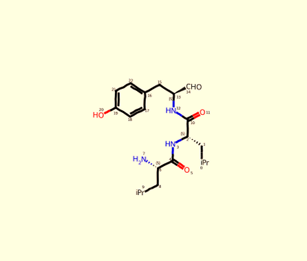 CC(C)C[C@H](NC(=O)[C@@H](N)CC(C)C)C(=O)N[C@H](C=O)Cc1ccc(O)cc1